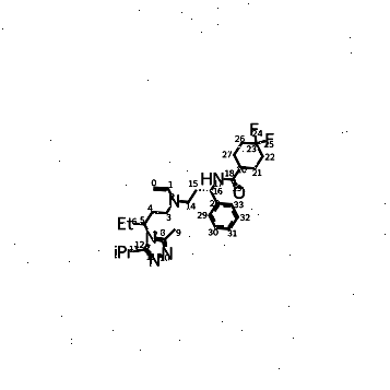 C=CN(CCC(CC)n1c(C)nnc1C(C)C)CC[C@H](NC(=O)C1CCC(F)(F)CC1)c1ccccc1